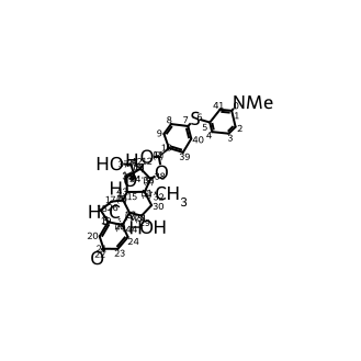 CNc1cccc(Sc2ccc([C@@H]3O[C@@H]4CC5[C@@H]6CCC7=CC(=O)C=C[C@]7(C)[C@H]6[C@@H](O)C[C@]5(C)[C@]4(C(=O)CO)O3)cc2)c1